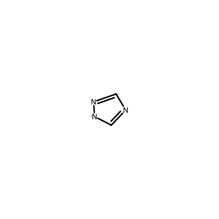 [C]1=N[N]C=N1